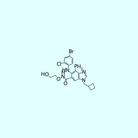 O=C(NOCCO)c1cc2c(ncn2CC2CCC2)c(P)c1Nc1ccc(Br)cc1Cl